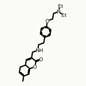 CCN(CC)CCOc1ccc(CCNCC2=CC3CC=C(C)C=C3OC2=O)cc1